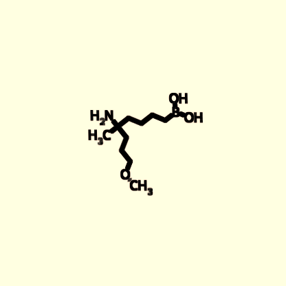 COCCCC(C)(N)CCCCB(O)O